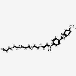 Cc1ccc2nc(-c3ccc(NCCOCCOCCOCCOCCI)cc3)sc2c1